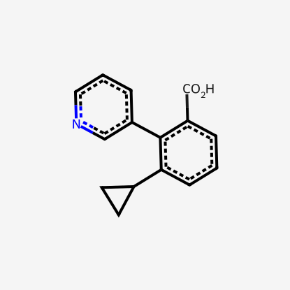 O=C(O)c1cccc(C2CC2)c1-c1cccnc1